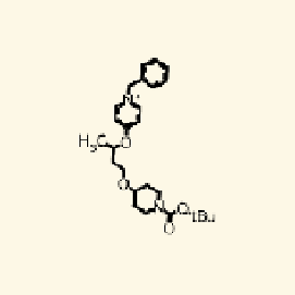 CC(CCOC1CCN(C(=O)OC(C)(C)C)CC1)Oc1cc[n+](Cc2ccccc2)cc1